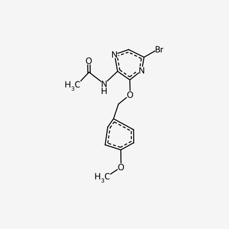 COc1ccc(COc2nc(Br)cnc2NC(C)=O)cc1